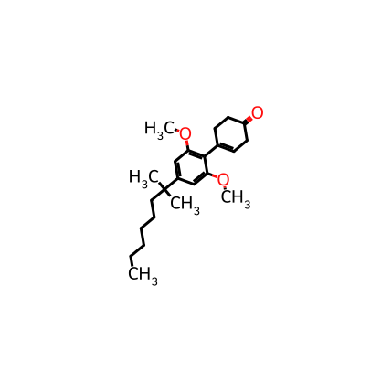 CCCCCCC(C)(C)c1cc(OC)c(C2=CCC(=O)CC2)c(OC)c1